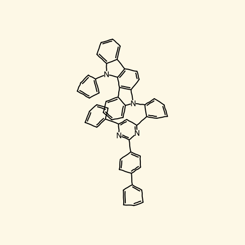 c1ccc(-c2ccc(-c3nc(-c4ccccc4)cc(-c4ccccc4-n4c5ccccc5c5c4ccc4c6ccccc6n(-c6ccccc6)c45)n3)cc2)cc1